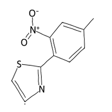 Cc1ccc(-c2n[c]cs2)c([N+](=O)[O-])c1